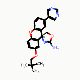 CC(C)(C)COc1ccc2c(c1)[C@]1(COC(N)=N1)c1cc(-c3cncnc3)ccc1O2